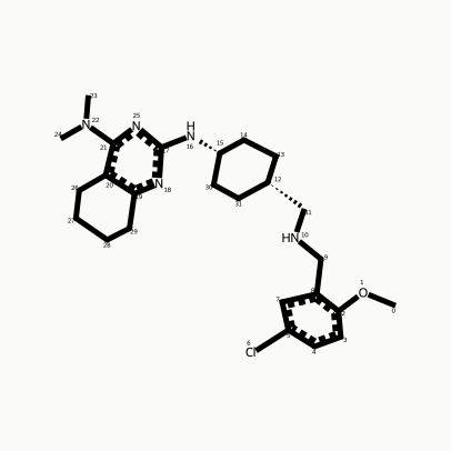 COc1ccc(Cl)cc1CNC[C@H]1CC[C@@H](Nc2nc3c(c(N(C)C)n2)CCCC3)CC1